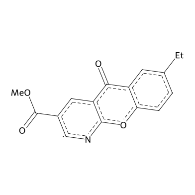 CCc1ccc2oc3n[c]c(C(=O)OC)cc3c(=O)c2c1